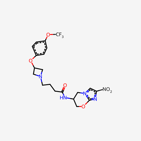 O=C(CCCN1CC(Oc2ccc(OC(F)(F)F)cc2)C1)NC1COc2nc([N+](=O)[O-])cn2C1